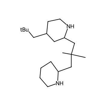 CC(C)(C)CC1CCNC(CC(C)(C)CC2CCCCN2)C1